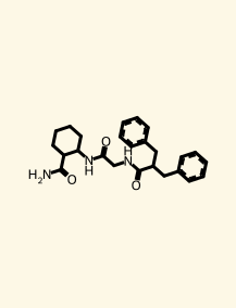 NC(=O)C1CCCCC1NC(=O)CNC(=O)C(Cc1ccccc1)Cc1ccccc1